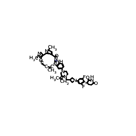 C=[N+](C)[C@H]1CN(c2ccc3c(c2)N2C[C@H](C)CCCOc4c(cnn4C)-c4cc(cc(C)n4)C(=O)/N=C/2N3)CCN1CC1CN(c2cc(F)c([C@H]3CCC(=O)NC3=O)c(F)c2)C1